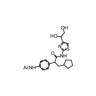 CC(=O)Nc1ccc(C(CC2CCCC2)C(=O)Nc2nc(C(O)CO)cs2)cc1